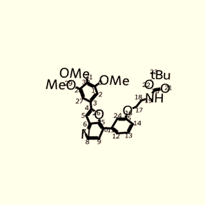 COc1cc(-c2cc3nccc(-c4cccc(OCCNC(=O)OC(C)(C)C)c4)c3o2)cc(OC)c1OC